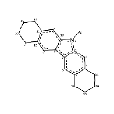 Cn1c2cc3c(cc2c2cc4c(cc21)CCCC4)CCCC3